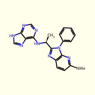 CNc1ccc2nc([C@H](C)Nc3ncnc4[nH]cnc34)n(-c3ccccc3)c2n1